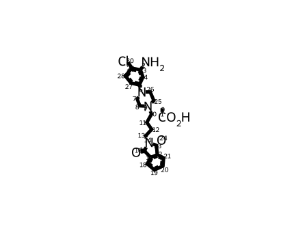 CC(=O)O.Nc1cc(N2CCN(CCCCN3C(=O)c4ccccc4C3=O)CC2)ccc1Cl